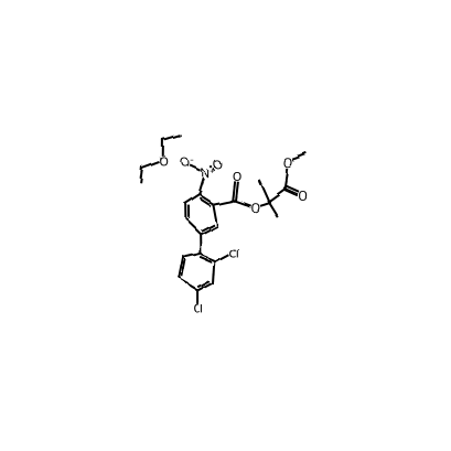 CCOCC.COC(=O)C(C)(C)OC(=O)c1cc(-c2ccc(Cl)cc2Cl)ccc1[N+](=O)[O-]